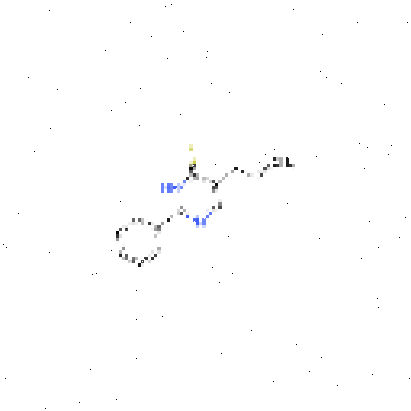 C=CCc1cnc(-c2ccccc2)[nH]c1=S